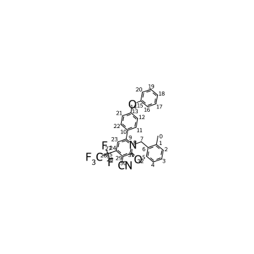 Cc1ccccc1Cn1c(-c2ccc(Oc3ccccc3)cc2)cc(C(F)(F)C(F)(F)F)c(C#N)c1=O